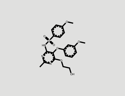 COc1ccc(S(=O)(=O)Nc2nc(C)nc(OCCO)c2Oc2cccc(OC)c2)cc1